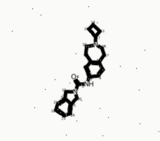 O=C(Nc1ccc2c(c1)CCN(C1CCC1)CC2)N1Cc2ccccc2C1